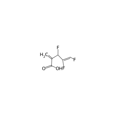 C=C(C(=O)O)C(F)C(F)=CF